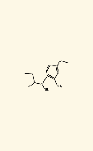 CCC(C)N(N)c1ccc(OC)cc1N